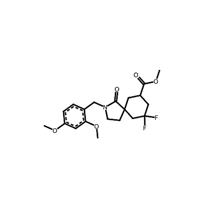 COC(=O)C1CC(F)(F)CC2(CCN(Cc3ccc(OC)cc3OC)C2=O)C1